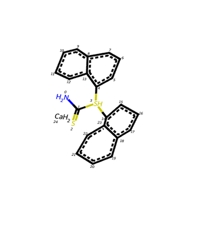 NC(=S)[SH](c1cccc2ccccc12)c1cccc2ccccc12.[CaH2]